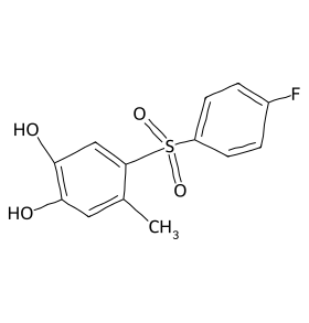 Cc1cc(O)c(O)cc1S(=O)(=O)c1ccc(F)cc1